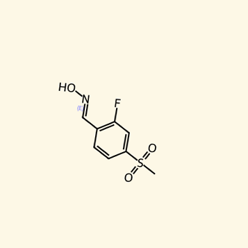 CS(=O)(=O)c1ccc(/C=N/O)c(F)c1